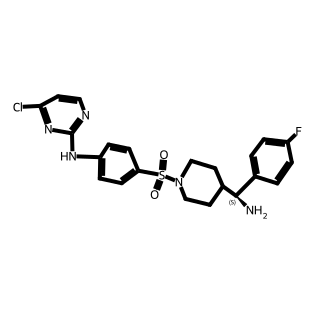 N[C@H](c1ccc(F)cc1)C1CCN(S(=O)(=O)c2ccc(Nc3nccc(Cl)n3)cc2)CC1